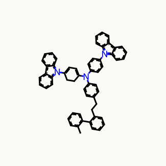 Cc1ccccc1-c1ccccc1CCc1ccc(N(C2=CC=C(n3c4ccccc4c4ccccc43)CC2)c2ccc(-n3c4ccccc4c4ccccc43)cc2)cc1